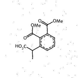 COC(=O)c1cccc(C(C)C(=O)O)c1C(=O)OC